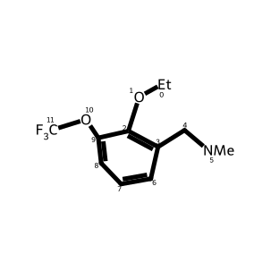 CCOc1c(CNC)cccc1OC(F)(F)F